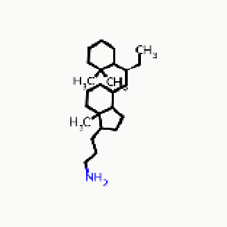 CC[C@@H](CC1CCCC2(C)C(CCCN)CCC12)C1CCCCC1(C)C